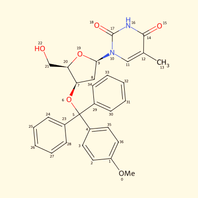 COc1ccc(C(O[C@@H]2C[C@H](n3cc(C)c(=O)[nH]c3=O)O[C@@H]2CO)(c2ccccc2)c2ccccc2)cc1